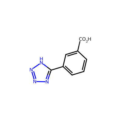 O=C(O)c1cccc(-c2nnn[nH]2)c1